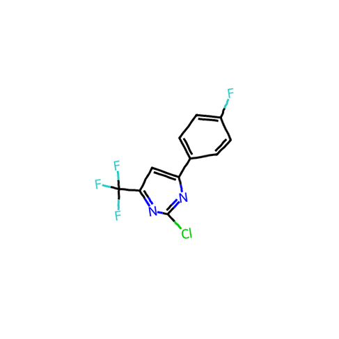 Fc1ccc(-c2cc(C(F)(F)F)nc(Cl)n2)cc1